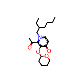 CCCCC(CC)Cn1ccc(=O)c(OC2CCCCO2)c1C(C)=O